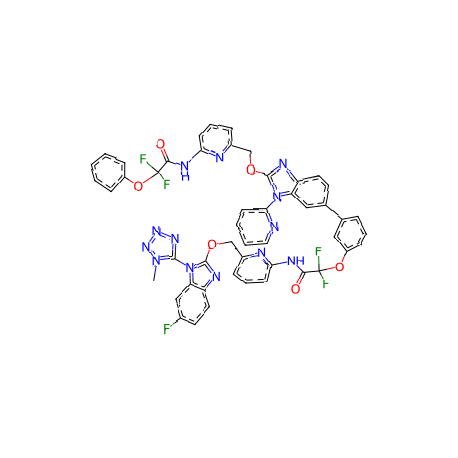 Cn1nnnc1-n1c(OCc2cccc(NC(=O)C(F)(F)Oc3cccc(-c4ccc5nc(OCc6cccc(NC(=O)C(F)(F)Oc7ccccc7)n6)n(-c6ccccn6)c5c4)c3)n2)nc2ccc(F)cc21